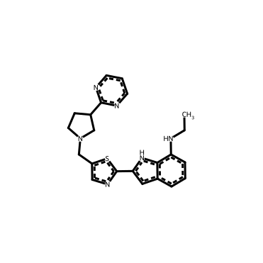 CCNc1cccc2cc(-c3ncc(CN4CCC(c5ncccn5)C4)s3)[nH]c12